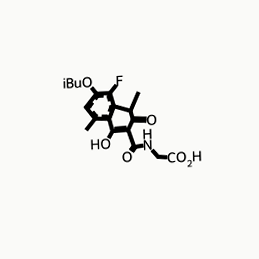 Cc1cc(OCC(C)C)c(F)c2c1C(O)=C(C(=O)NCC(=O)O)C(=O)C2C